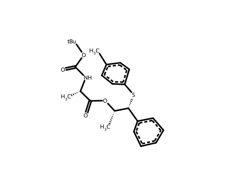 Cc1ccc(S[C@H](c2ccccc2)[C@H](C)OC(=O)[C@H](C)NC(=O)OC(C)(C)C)cc1